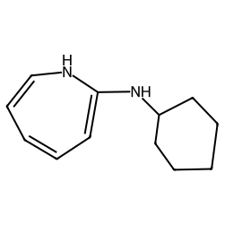 C1=CC=C(NC2CCCCC2)NC=C1